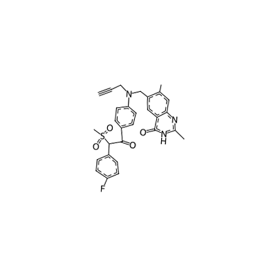 C#CCN(Cc1cc2c(=O)[nH]c(C)nc2cc1C)c1ccc(C(=O)C(c2ccc(F)cc2)S(C)(=O)=O)cc1